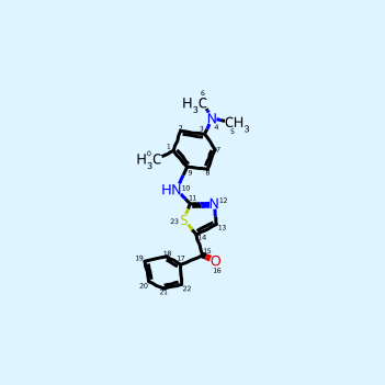 Cc1cc(N(C)C)ccc1Nc1ncc(C(=O)c2ccccc2)s1